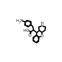 Nc1ccc(CC(C(=O)O)C2c3ccccc3OC3CCNCC32)cc1